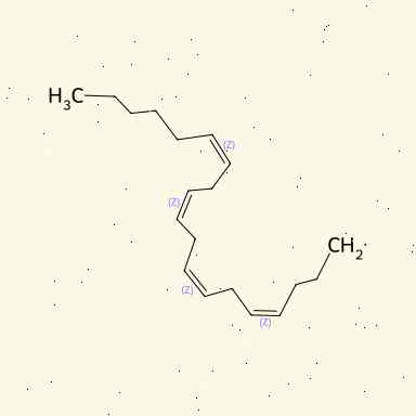 [CH2]CC/C=C\C/C=C\C/C=C\C/C=C\CCCCC